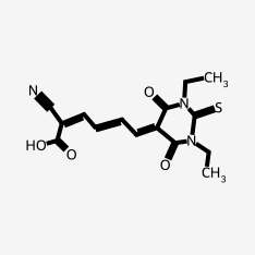 CCN1C(=O)C(=CC=CC=C(C#N)C(=O)O)C(=O)N(CC)C1=S